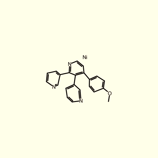 COc1ccc(-c2ccnc(-c3cccnc3)c2-c2cccnc2)cc1.[Ni]